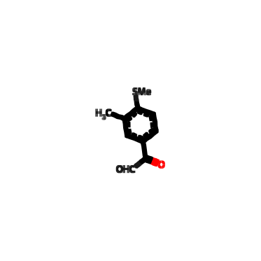 CSc1ccc(C(=O)C=O)cc1C